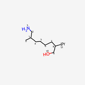 CC(CN)CCCCC(CO)C(C)C